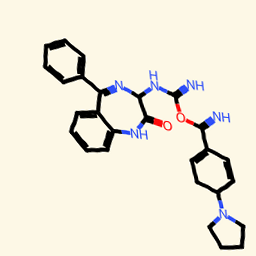 N=C(NC1N=C(c2ccccc2)c2ccccc2NC1=O)OC(=N)C1=CCC(N2CCCC2)C=C1